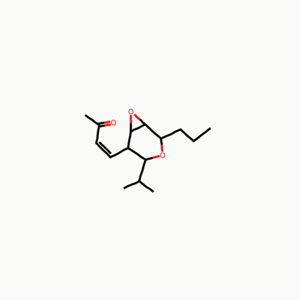 CCCC1OC(C(C)C)C(/C=C\C(C)=O)C2OC12